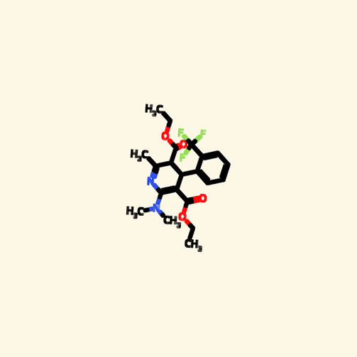 CCOC(=O)C1=C(N(C)C)N=C(C)C(C(=O)OCC)C1c1ccccc1C(F)(F)F